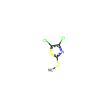 N#CSc1nc(Cl)c(Cl)s1